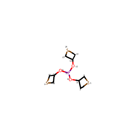 C1SCC1OP(OC1CSC1)OC1CSC1